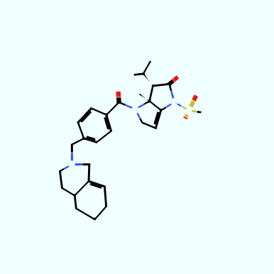 CC(C)[C@H]1C(=O)N(S(C)(=O)=O)C2=CCN(C(=O)c3ccc(CN4CCC5CCCC=C5C4)cc3)[C@@H]21.Cl